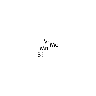 [Bi].[Mn].[Mo].[V]